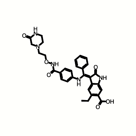 CCc1cc2c(cc1C(=O)O)NC(=O)C2=C(Nc1ccc(C(=O)NOCCN2CCNC(=O)C2)cc1)c1ccccc1